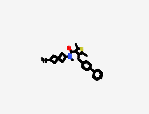 [2H]C1CC2(C1)CC(N(C)C(=O)c1c(C)sc(C)c1Cc1ccc(-c3ccccc3)cc1)C2